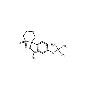 CC(=O)OC1(c2ccc(OC(C)(C)C)cc2)CNCCS1(=O)=O